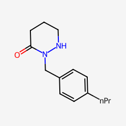 CCCc1ccc(CN2NCCCC2=O)cc1